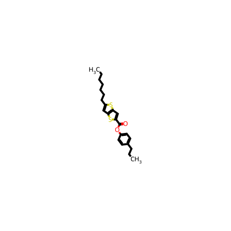 CCCCCCCc1cc2sc(C(=O)Oc3ccc(CCC)cc3)cc2s1